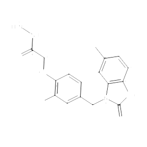 Cc1ccc2oc(=O)n(Cc3ccc(OCC(=O)NN)c(O)c3)c2c1